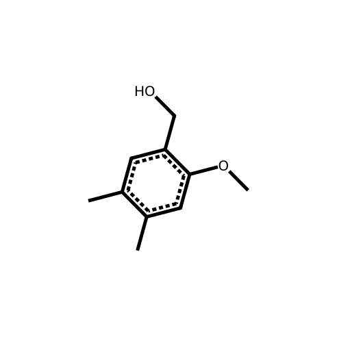 COc1cc(C)c(C)cc1CO